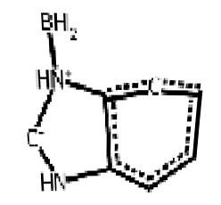 B[NH+]1[CH-]Nc2ccccc21